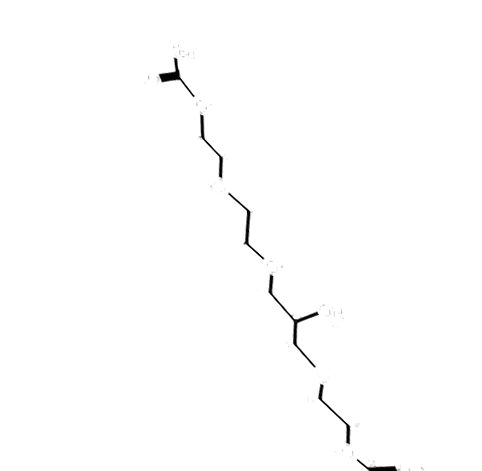 CC(C)(C)C(=O)OCCOCCOCC(O)COCCOC(=O)C(C)(C)C